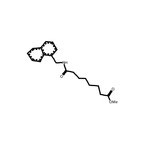 COC(=O)CCCCCCC(=O)NCc1cccc2ccccc12